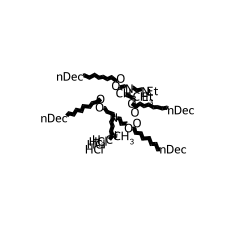 CCCCCCCCCCCCCCCCCC(=O)OC(C)CN(CCCN(CC)CC)CC(C)OC(=O)CCCCCCCCCCCCCCCCC.CCCCCCCCCCCCCCCCCC(=O)OCCCN(CCCOC(=O)CCCCCCCCCCCCCCCCC)CCCN(C)C.Cl.Cl.Cl